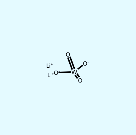 [Li+].[Li+].[O]=[W](=[O])([O-])[O-]